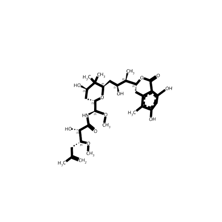 C=C(C)C[C@@H](OC)[C@H](O)C(=O)N[C@H](OC)[C@@H]1C[C@@H](O)C(C)(C)[C@@H](C[C@H](O)[C@@H](C)[C@H]2Cc3c(C)c(O)cc(O)c3C(=O)O2)O1